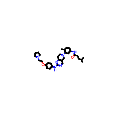 Cc1ccc(NC(=O)CCC(C)C)cc1N1CCc2nc(Nc3ccc(OCCN4CCCC4)cc3)ncc2C1